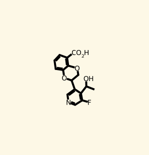 CC(O)c1c(F)cncc1C1COc2c(cccc2C(=O)O)O1